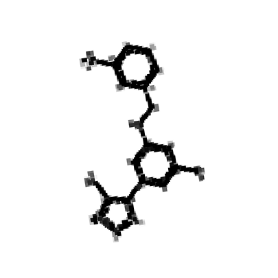 N#Cc1[nH]nnc1-c1cc(Br)cc(OCc2cccc(C(F)(F)F)c2)c1